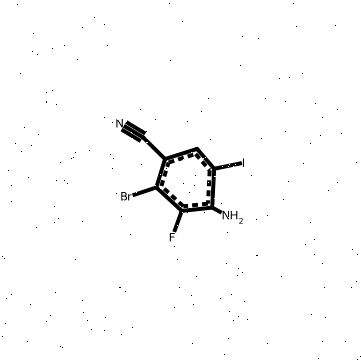 N#Cc1cc(I)c(N)c(F)c1Br